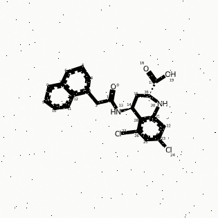 O=C(Cc1cccc2ccccc12)N[C@H]1C[C@H](C(=O)O)Nc2cc(Cl)cc(Cl)c21